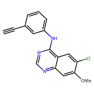 C#Cc1cccc(Nc2ncnc3cc(OC)c(Cl)cc23)c1